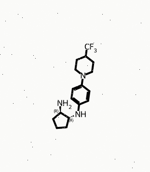 N[C@@H]1CCC[C@H]1Nc1ccc(N2CCC(C(F)(F)F)CC2)cc1